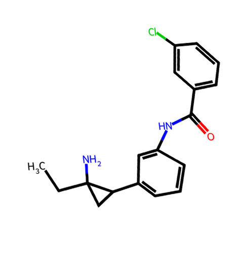 CCC1(N)CC1c1cccc(NC(=O)c2cccc(Cl)c2)c1